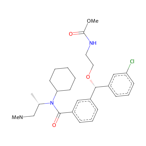 CNC[C@H](C)N(C(=O)c1cccc([C@H](OCCNC(=O)OC)c2cccc(Cl)c2)c1)C1CCCCC1